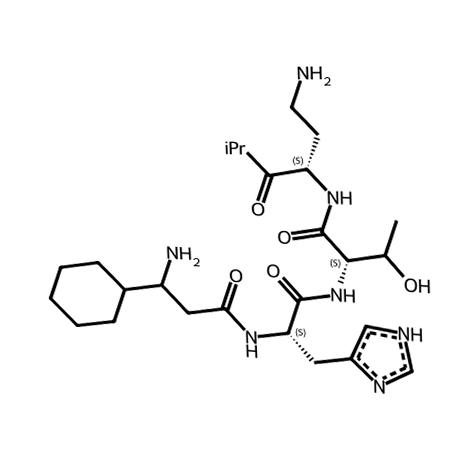 CC(C)C(=O)[C@H](CCN)NC(=O)[C@@H](NC(=O)[C@H](Cc1c[nH]cn1)NC(=O)CC(N)C1CCCCC1)C(C)O